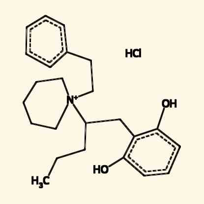 CCCC(Cc1c(O)cccc1O)[N+]1(CCc2ccccc2)CCCCC1.Cl